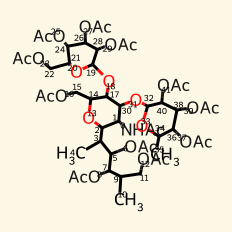 CC(=O)NC1C(C(C)C(OC(C)=O)C(OC(C)=O)C(C)COC(C)=O)OC(COC(C)=O)C(OC2OC(COC(C)=O)C(OC(C)=O)C(OC(C)=O)C2OC(C)=O)C1OC1OC(C)C(OC(C)=O)C(OC(C)=O)C1OC(C)=O